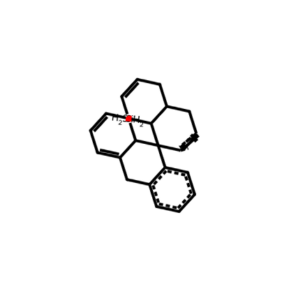 C1=C[SiH2]C2C(=C1)Cc1ccccc1C21c2ccccc2CC2CC=C[SiH2]C21